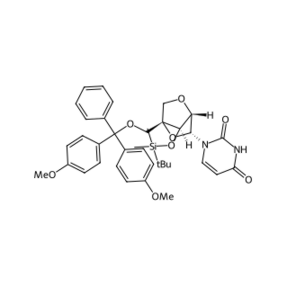 COc1ccc(C(OC[C@]23CO[C@H]([C@H](n4ccc(=O)[nH]c4=O)O2)[C@H]3O[Si](C)(C)C(C)(C)C)(c2ccccc2)c2ccc(OC)cc2)cc1